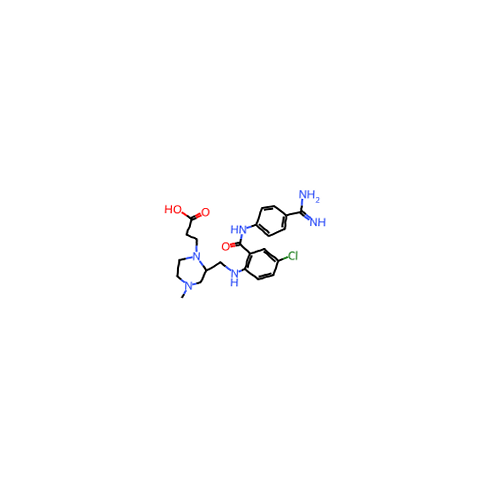 CN1CCN(CCC(=O)O)C(CNc2ccc(Cl)cc2C(=O)Nc2ccc(C(=N)N)cc2)C1